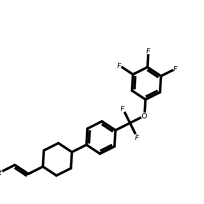 CCC=CC1CCC(c2ccc(C(F)(F)Oc3cc(F)c(F)c(F)c3)cc2)CC1